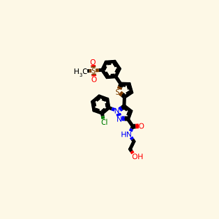 CS(=O)(=O)c1cccc(-c2ccc(-c3cc(C(=O)NCCO)nn3-c3ccccc3Cl)s2)c1